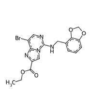 CCOC(=O)c1cn2c(NCc3cccc4c3OCO4)ncc(Br)c2n1